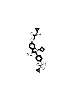 N#Cc1c(-c2ccc(NS(=O)(=O)C3CC3)cc2)n(C2CCC2)c2cc(OCC(=O)NC3CC3)ccc12